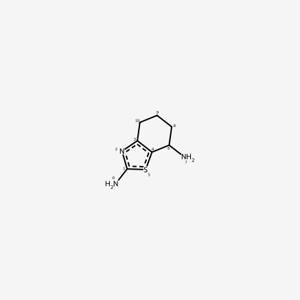 Nc1nc2c(s1)C(N)CCC2